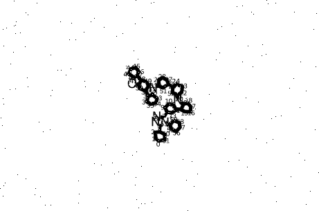 c1ccc(-c2nnc(-c3ccc4c(c3)c3ccccc3n4-c3cccc(-c4cccc(-n5c6ccccc6c6cc7oc8ccccc8c7cc65)c4)c3)n2-c2ccccc2)cc1